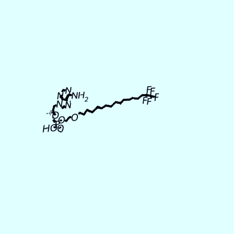 C[C@H](Cn1cnc2c(N)ncnc21)OCP(=O)(O)OCCOCCCCCCCCCCCCCCCC(F)(F)C(F)(F)F